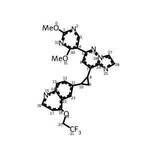 COc1ncc(-c2cc(C3CC3c3ccc4nccc(OCC(F)(F)F)c4c3)c3nccn3n2)c(OC)n1